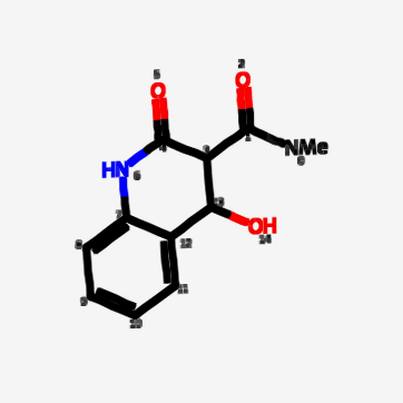 CNC(=O)C1C(=O)Nc2ccccc2C1O